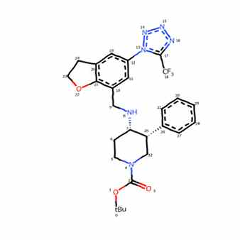 CC(C)(C)OC(=O)N1CC[C@H](NCc2cc(-n3nnnc3C(F)(F)F)cc3c2OCC3)[C@H](c2ccccc2)C1